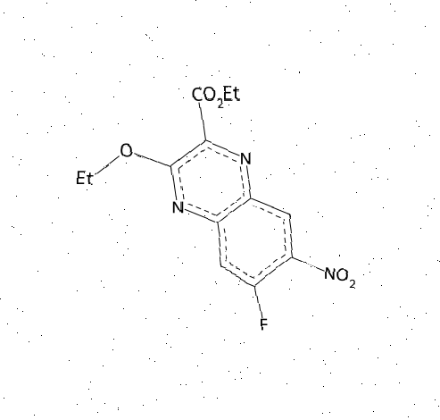 CCOC(=O)c1nc2cc([N+](=O)[O-])c(F)cc2nc1OCC